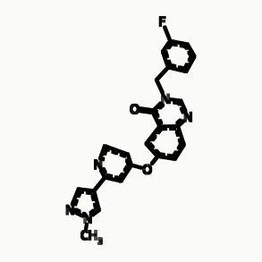 Cn1cc(-c2cc(Oc3ccc4ncn(Cc5cccc(F)c5)c(=O)c4c3)ccn2)cn1